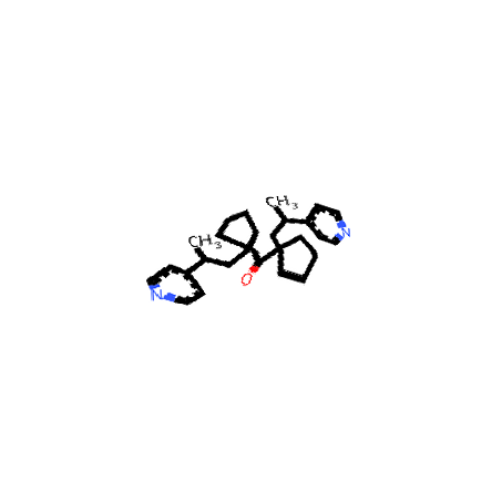 CC(CC1(C(=O)C2(CC(C)c3ccncc3)CCCC2)CCCC1)c1ccncc1